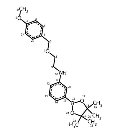 COc1ccc(COCCNc2cccc(B3OC(C)(C)C(C)(C)O3)c2)cc1